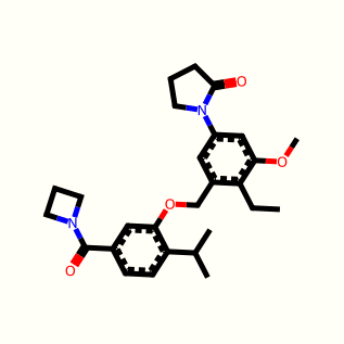 CCc1c(COc2cc(C(=O)N3CCC3)ccc2C(C)C)cc(N2CCCC2=O)cc1OC